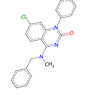 CN(Cc1ccccc1)c1nc(=O)n(-c2ccccc2)c2cc(Cl)ccc12